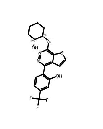 Oc1cc(C(F)(F)F)ccc1-c1nnc(N[C@@H]2CCCC[C@H]2O)c2sccc12